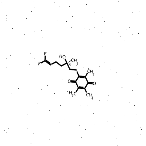 CC1=C(C)C(=O)C(CC[C@](C)(O)CCC=C(F)F)=C(C)C1=O